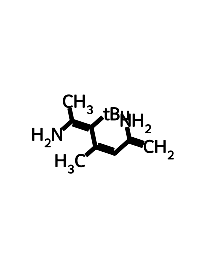 C=C(N)/C=C(C)\C(=C(\C)N)C(C)(C)C